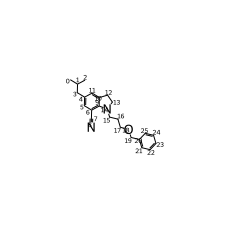 CC(C)Cc1cc(C#N)c2c(c1)CCN2CCCOCc1ccccc1